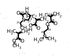 C=C(C)C(=O)O.C=C(C)C(=O)OC.C=C(C)C(=O)OCCN(C)C.CCN1CCNC1=O